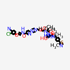 Cc1ncsc1-c1ccc([C@H](C)NC(=O)[C@@H]2C[C@@H](O)CN2C(=O)[C@@H](NC(=O)COCCN2CCN(c3ccc(C(=O)NC4CC(Oc5ccc(C#N)c(Cl)c5)C4)cn3)CC2)C(C)(C)C)cc1